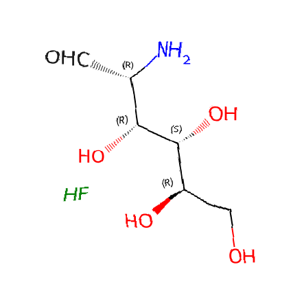 F.N[C@@H](C=O)[C@@H](O)[C@H](O)[C@H](O)CO